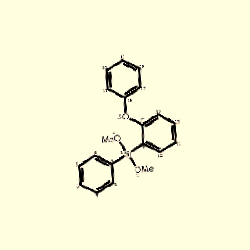 CO[Si](OC)(c1ccccc1)c1ccccc1Oc1ccccc1